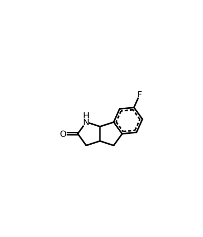 O=C1CC2Cc3ccc(F)cc3C2N1